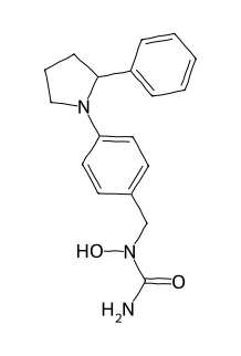 NC(=O)N(O)Cc1ccc(N2CCCC2c2ccccc2)cc1